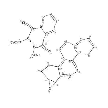 CCCCCCCCOC(=O)c1ccccc1C(=O)OCCCCCCCC.c1ccc2c(c1)ccc1c3c(ccc12)C1OC1CC3